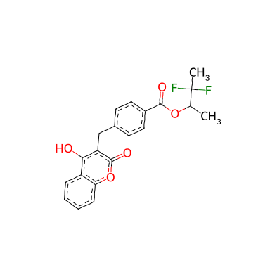 CC(OC(=O)c1ccc(Cc2c(O)c3ccccc3oc2=O)cc1)C(C)(F)F